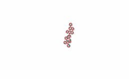 c1ccc(-c2ccc(-c3c4ccccc4c(-c4ccc5sc6c(-c7c8ccccc8c(-c8ccccc8)c8ccccc78)cccc6c5c4)c4ccccc34)c3ccccc23)cc1